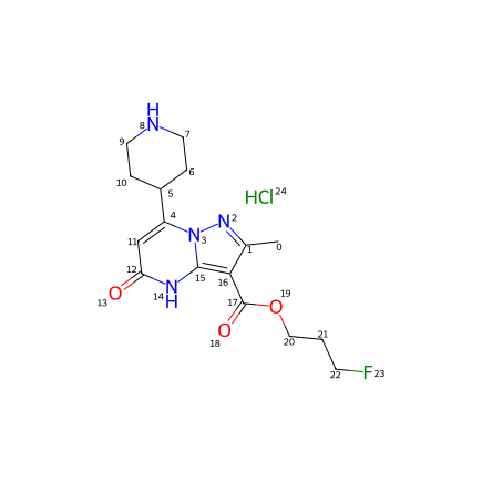 Cc1nn2c(C3CCNCC3)cc(=O)[nH]c2c1C(=O)OCCCF.Cl